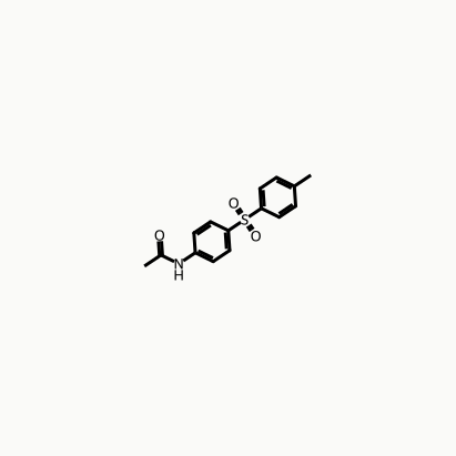 CC(=O)Nc1ccc(S(=O)(=O)c2ccc(C)cc2)cc1